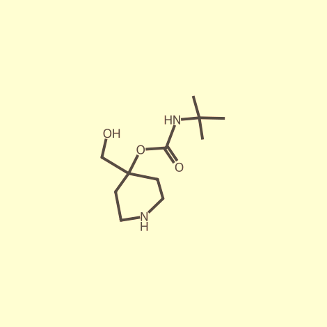 CC(C)(C)NC(=O)OC1(CO)CCNCC1